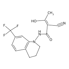 CC(O)=C(C#N)C(=O)NN1CCCc2ccc(C(F)(F)F)cc21